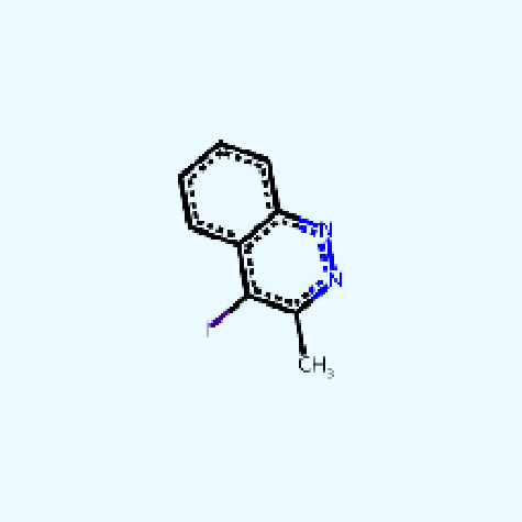 Cc1nnc2ccccc2c1I